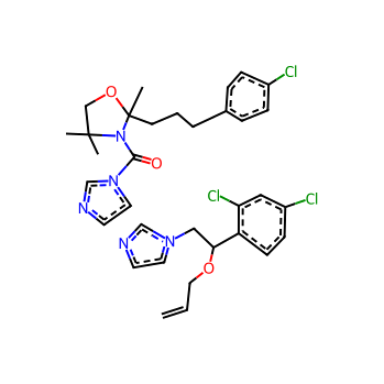 C=CCOC(Cn1ccnc1)c1ccc(Cl)cc1Cl.CC1(C)COC(C)(CCCc2ccc(Cl)cc2)N1C(=O)n1ccnc1